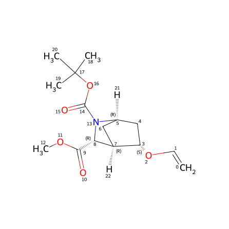 C=CO[C@H]1C[C@H]2C[C@@H]1[C@H](C(=O)OC)N2C(=O)OC(C)(C)C